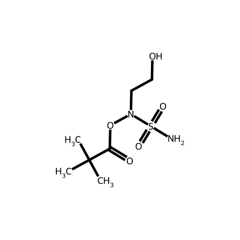 CC(C)(C)C(=O)ON(CCO)S(N)(=O)=O